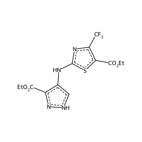 CCOC(=O)c1n[nH]cc1Nc1nc(C(F)(F)F)c(C(=O)OCC)s1